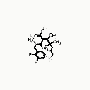 C=C(C)/C(C(=O)N(C)Cc1cccc(F)c1F)=C(\C)C(C)(C)CCCC